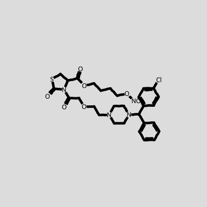 O=C(OCCCCO[N+](=O)[O-])C1CSC(=O)N1C(=O)COCCN1CCN(C(c2ccccc2)c2ccc(Cl)cc2)CC1